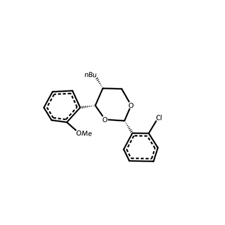 CCCC[C@@H]1CO[C@H](c2ccccc2Cl)O[C@@H]1c1ccccc1OC